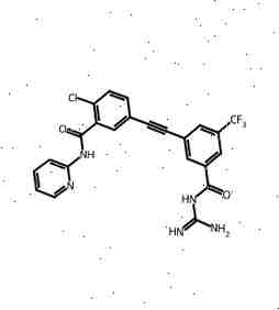 N=C(N)NC(=O)c1cc(C#Cc2ccc(Cl)c(C(=O)Nc3ccccn3)c2)cc(C(F)(F)F)c1